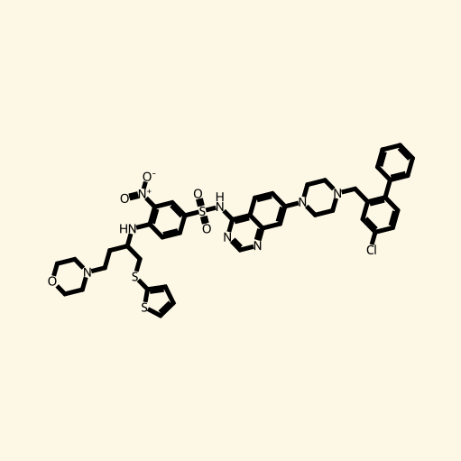 O=[N+]([O-])c1cc(S(=O)(=O)Nc2ncnc3cc(N4CCN(Cc5cc(Cl)ccc5-c5ccccc5)CC4)ccc23)ccc1NC(CCN1CCOCC1)CSc1cccs1